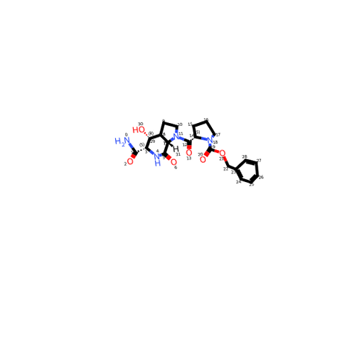 NC(=O)[C@H]1NC(=O)[C@@H]2C(CCN2C(=O)[C@@H]2CCCN2C(=O)OCc2ccccc2)[C@H]1O